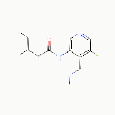 CCC(C)CC(=O)Nc1cncc(F)c1CNC